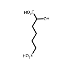 O=C(O)[C](O)CCCCS(=O)(=O)O